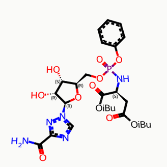 CC(C)COC(=O)C[C@H](NP(=O)(OC[C@H]1O[C@@H](n2cnc(C(N)=O)n2)[C@H](O)[C@@H]1O)Oc1ccccc1)C(=O)OCC(C)C